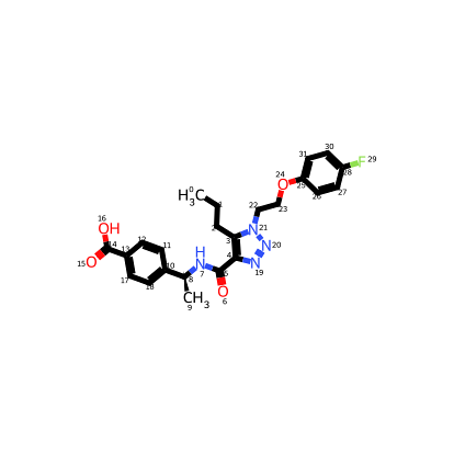 CCCc1c(C(=O)N[C@@H](C)c2ccc(C(=O)O)cc2)nnn1CCOc1ccc(F)cc1